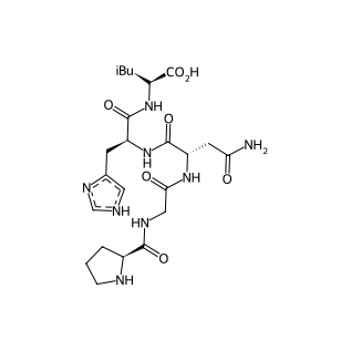 CC[C@H](C)[C@H](NC(=O)[C@H](Cc1c[nH]cn1)NC(=O)[C@H](CC(N)=O)NC(=O)CNC(=O)[C@@H]1CCCN1)C(=O)O